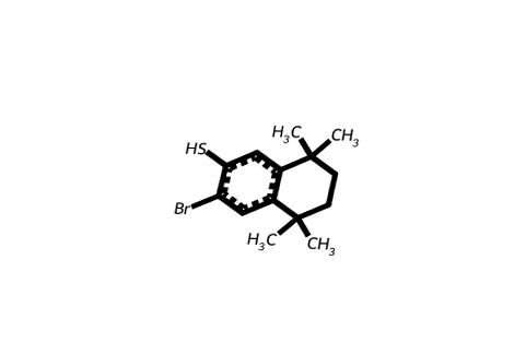 CC1(C)CCC(C)(C)c2cc(Br)c(S)cc21